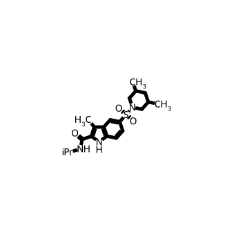 Cc1c(C(=O)NC(C)C)[nH]c2ccc(S(=O)(=O)N3CC(C)CC(C)C3)cc12